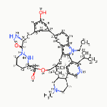 CCn1c(-c2cc(C3CCN(C)CC3)cnc2C(C)C)c2c3cc(ccc31)-c1cc(O)cc(c1)C[C@H](N)C(=O)N1CCC[C@H](N1)C(=O)OCC(C)(C)C2